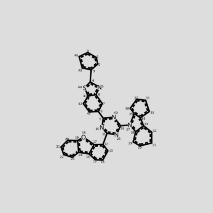 c1ccc(-c2nc3cc(-c4nc(-c5cccc6c5oc5ccccc56)nc(-n5c6ccccc6c6ccccc65)n4)ccc3s2)cc1